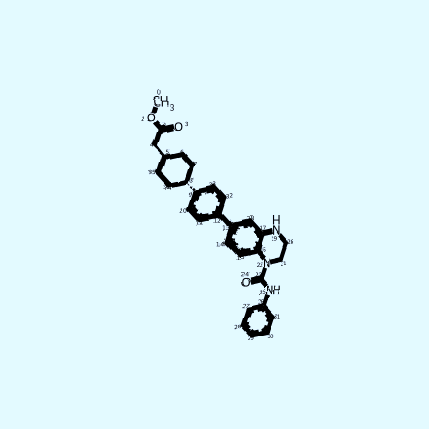 COC(=O)C[C@H]1CC[C@H](c2ccc(-c3ccc4c(c3)NCCN4C(=O)Nc3ccccc3)cc2)CC1